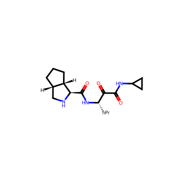 CCC[C@H](NC(=O)[C@H]1NC[C@@H]2CCC[C@@H]21)C(=O)C(=O)NC1CC1